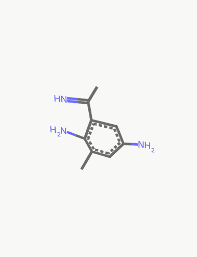 CC(=N)c1cc(N)cc(C)c1N